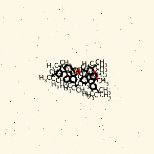 Cc1cc(C2C(OPOC3=CC=CC(c4ccccc4)(c4cc(C)c(C(C)(C)C)cc4C(C)(C)C)C3c3cc(C)c(C(C)(C)C)cc3C(C)(C)C)=CC=CC2(c2ccccc2)c2cc(C)c(C(C)(C)C)cc2C(C)(C)C)c(C(C)(C)C)cc1C(C)(C)C